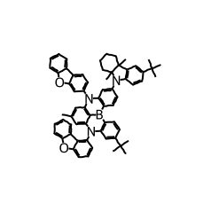 Cc1cc2c3c(c1)N(c1cccc4oc5ccccc5c14)c1cc(C(C)(C)C)ccc1B3c1ccc(N3c4ccc(C(C)(C)C)cc4C4(C)CCCCC34C)cc1N2c1ccc2c(c1)oc1ccccc12